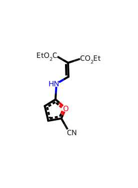 CCOC(=O)C(=CNc1ccc(C#N)o1)C(=O)OCC